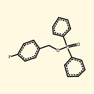 O=P(OCc1ccc(F)cc1)(c1ccccc1)c1ccccc1